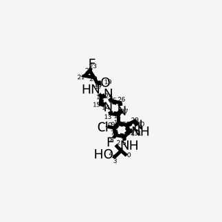 CC(C)(CO)Nc1c(F)c(Cl)c(-c2cn3cc(NC(=O)C4CC4F)nc3cn2)c2cn[nH]c12